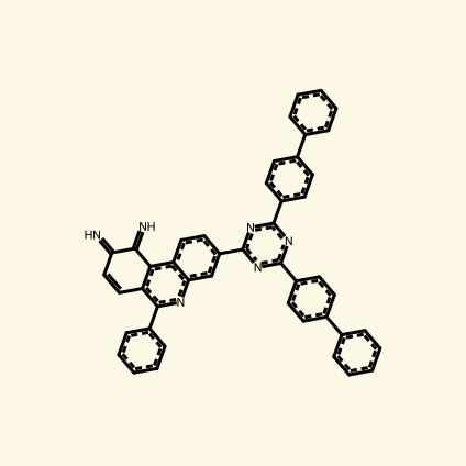 N=C1C=Cc2c(-c3ccccc3)nc3cc(-c4nc(-c5ccc(-c6ccccc6)cc5)nc(-c5ccc(-c6ccccc6)cc5)n4)ccc3c2C1=N